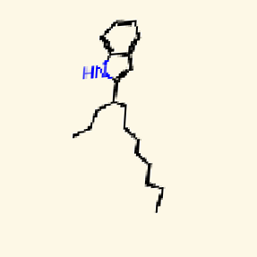 CCCCCCCCC(CCC)c1cc2ccccc2[nH]1